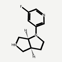 Fc1cncc(N2CC[C@H]3CNC[C@H]32)c1